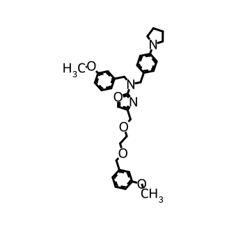 COc1cccc(COCCOCc2coc(N(Cc3ccc(N4CCCC4)cc3)Cc3cccc(OC)c3)n2)c1